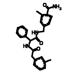 Cc1cccc(CC(=O)NC(C(=O)NCc2ccc(C(N)=O)c(C)c2)c2ccccc2)c1